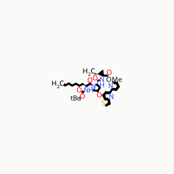 C=CCCCCC[C@H](NC(=O)OC(C)(C)C)C(=O)N1C[C@H](Oc2cc(-c3ccccn3)nc3ccsc23)C[C@H]1C(=O)N[C@]1(C(=O)OC)C[C@H]1C=C